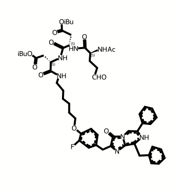 CC(=O)N[C@@H](CCC=O)C(=O)N[C@@H](CC(=O)OCC(C)C)C(=O)N[C@@H](CC(=O)OCC(C)C)C(=O)NCCCCCCOc1ccc(Cc2nc3c(Cc4ccccc4)[nH]c(-c4ccccc4)cn-3c2=O)cc1F